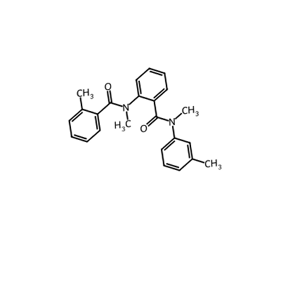 Cc1cccc(N(C)C(=O)c2ccccc2N(C)C(=O)c2ccccc2C)c1